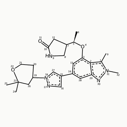 Cc1c2c(O[C@H](C)C3CNC(=O)C3)cc(-c3cnn(C4CCOC(C)(C)C4)c3)cc2nn1C